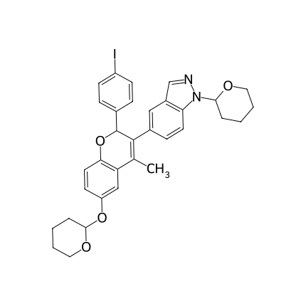 CC1=C(c2ccc3c(cnn3C3CCCCO3)c2)C(c2ccc(I)cc2)Oc2ccc(OC3CCCCO3)cc21